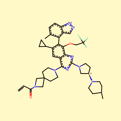 C=CC(=O)N1CC2(CCN(c3nc(N4CC[C@@H](N5CCC(C)CC5)C4)nc4c(OCC(F)(F)F)c(-c5c(C)ccc6[nH]ncc56)c(C5CC5)cc34)CC2)C1